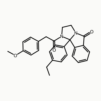 CCc1ccc(C23c4ccccc4C(=O)N2CCN3C(=O)Cc2ccc(OC)cc2)cc1